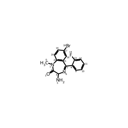 CN1C(=O)C(N)N=C(c2ccccc2F)c2cc(Br)ccc21